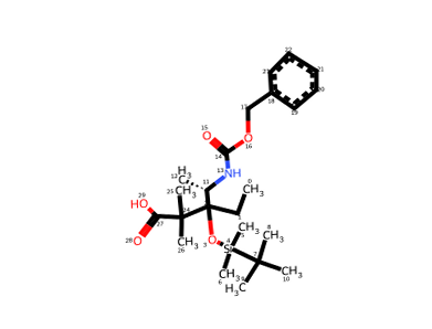 CCC(O[Si](C)(C)C(C)(C)C)([C@H](C)NC(=O)OCc1ccccc1)C(C)(C)C(=O)O